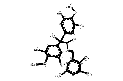 CCCCCCCCOc1c(C(C)(C)C)cc(C(O)(c2cc(C(C)(C)C)c(OCCCCCCCC)c(C(C)(C)C)c2)C(N=Cc2cc([N+](=O)[O-])cc([N+](=O)[O-])c2O)C(C)CC)cc1C(C)(C)C